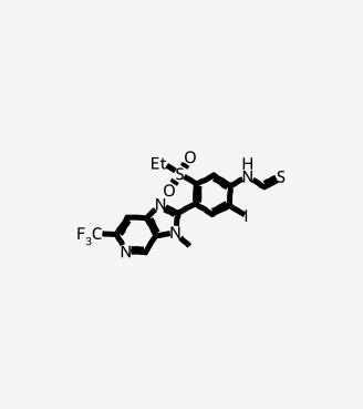 CCS(=O)(=O)c1cc(NC=S)c(I)cc1-c1nc2cc(C(F)(F)F)ncc2n1C